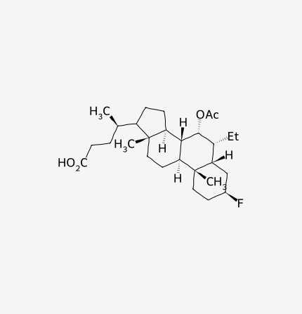 CC[C@H]1[C@@H](OC(C)=O)[C@@H]2[C@H](CC[C@]3(C)C([C@H](C)CCC(=O)O)CC[C@@H]23)[C@@]2(C)CC[C@H](F)C[C@@H]12